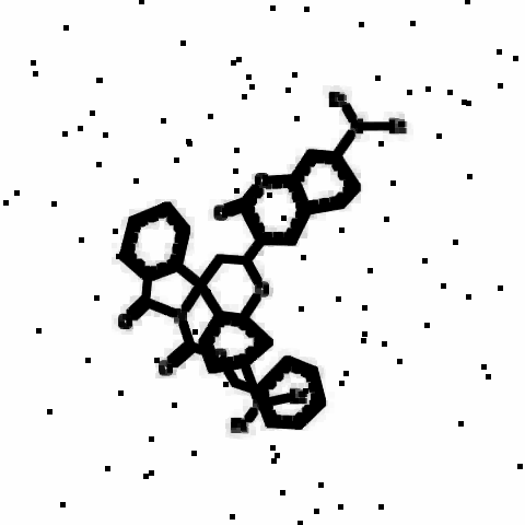 CCN(CC)c1ccc2c(c1)OC(c1cc3ccc(N(CC)CC)cc3oc1=O)CC21c2ccccc2C(=O)N1C(=O)OCc1ccccc1